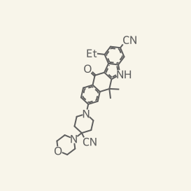 CCc1cc(C#N)cc2[nH]c3c(c12)C(=O)c1ccc(N2CCC(C#N)(N4CCOCC4)CC2)cc1C3(C)C